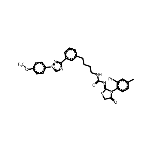 Cc1ccc(N2C(=O)CS/C2=N\C(=O)NCCCCc2cccc(-c3ncn(-c4ccc(OC(F)(F)F)cc4)n3)c2)c(C(C)C)c1